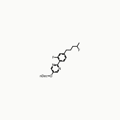 CCCCCCCCCCOc1cnc(-c2ccc(CCCC(C)F)cc2F)nc1